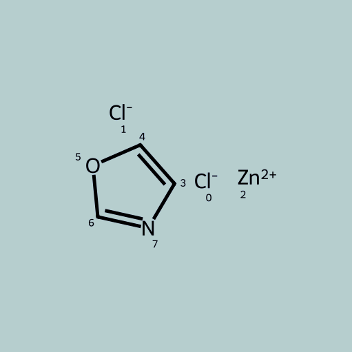 [Cl-].[Cl-].[Zn+2].c1cocn1